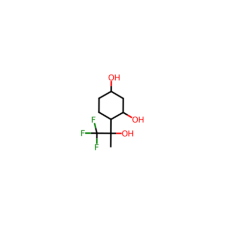 CC(O)(C1CCC(O)CC1O)C(F)(F)F